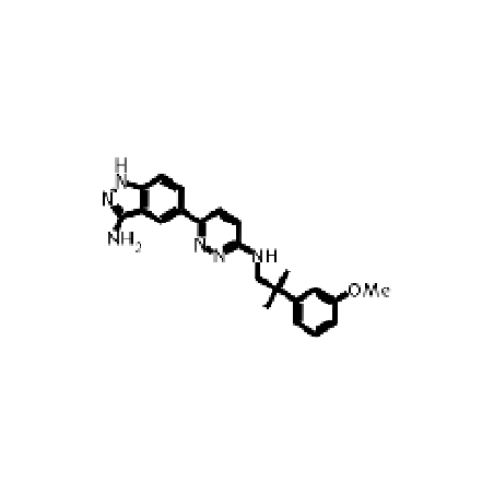 COc1cccc(C(C)(C)CNc2ccc(-c3ccc4[nH]nc(N)c4c3)nn2)c1